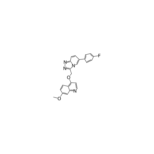 COc1ccc2c(OCc3nnc4ccc(-c5ccc(F)cc5)cn34)ccnc2c1